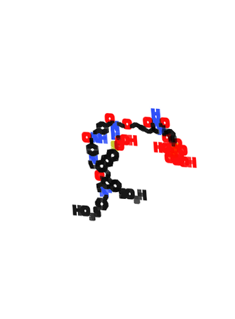 O=C(NCCOCCC#CCc1cn([C@H]2CC[C@@H](COP(OO)(OOO)(P(=O)=O)P(=O)=O)O2)c(=O)[nH]c1=O)c1ccc(CNC(=O)c2ccc(N3CCc4c5c(c6cc7ccc(SOOO)cc7cc6c43)C=c3c(c4c(c6cc(S(=O)(=O)O)ccc36)=[N+](Cc3ccc(S(=O)(=O)O)cc3)CC4)O5)cc2)cc1